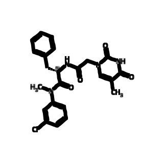 Cc1cn(CC(=O)N[C@@H](Cc2ccccc2)C(=O)N(C)c2cccc(Cl)c2)c(=O)[nH]c1=O